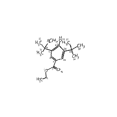 C[CH]OC(=O)c1cc(C(C)(C)C)c(O)c(C(C)(C)C)c1